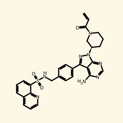 C=CC(=O)N1CCC[C@@H](n2nc(-c3ccc(CNS(=O)(=O)c4cccc5cccnc45)cc3)c3c(N)ncnc32)C1